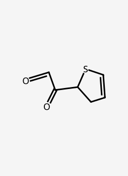 O=CC(=O)C1CC=CS1